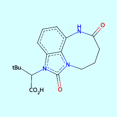 CC(C)(C)C(C(=O)O)n1c(=O)n2c3c(cccc31)NC(=O)CCC2